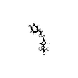 O=S(=O)(Cl)C1CC(COCc2ccccc2)C1